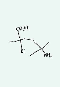 CCOC(=O)C(C)(CC)CC(C)(C)N